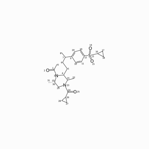 CC(=O)N1C(CCC(C)c2ccc(S(=O)(=O)C3CC3)cc2)C(C)N(C(=O)C2CC2)C[C@@H]1C